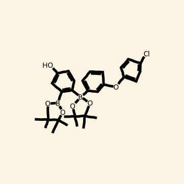 CC1(C)OB(c2cc(O)ccc2[B-]2(c3cccc(Oc4ccc(Cl)cc4)c3)OC(C)(C)C(C)(C)O2)OC1(C)C